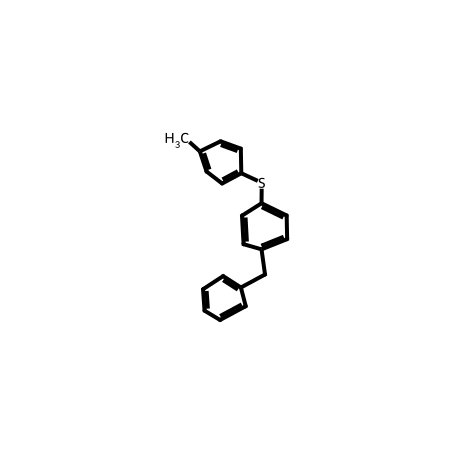 Cc1ccc(Sc2ccc(Cc3ccccc3)cc2)cc1